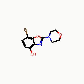 Oc1ccc(Br)c2oc(N3CCOCC3)nc12